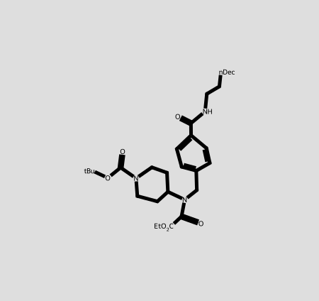 CCCCCCCCCCCCNC(=O)c1ccc(CN(C(=O)C(=O)OCC)C2CCN(C(=O)OC(C)(C)C)CC2)cc1